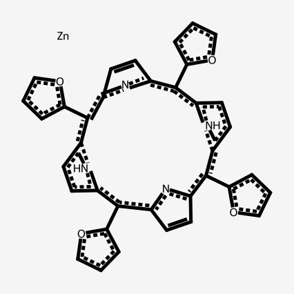 C1=Cc2nc1c(-c1ccco1)c1ccc([nH]1)c(-c1ccco1)c1nc(c(-c3ccco3)c3ccc([nH]3)c2-c2ccco2)C=C1.[Zn]